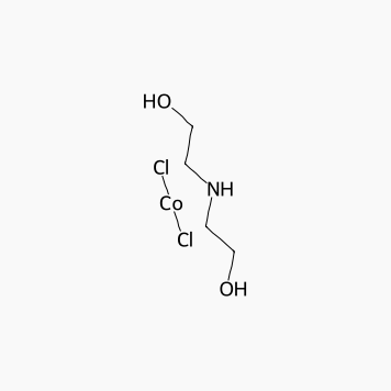 OCCNCCO.[Cl][Co][Cl]